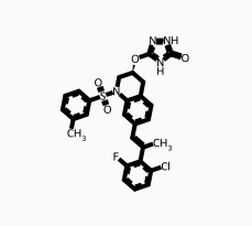 C/C(=C\c1ccc2c(c1)N(S(=O)(=O)c1cccc(C)c1)C[C@H](Oc1n[nH]c(=O)[nH]1)C2)c1c(F)cccc1Cl